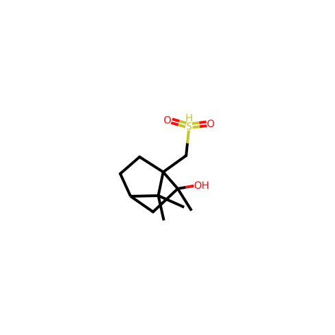 CC1(O)CC2CCC1(C[SH](=O)=O)C2(C)C